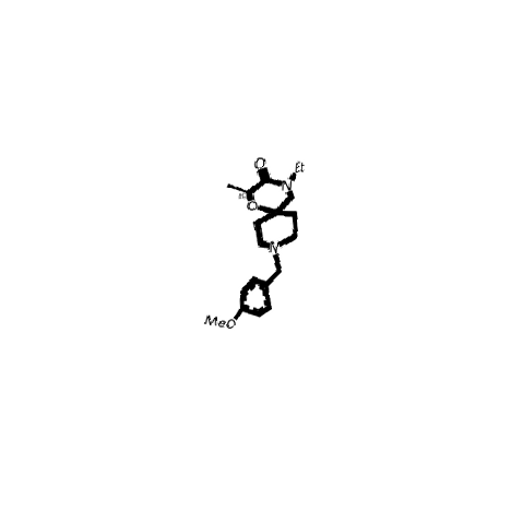 CCN1CC2(CCN(Cc3ccc(OC)cc3)CC2)O[C@@H](C)C1=O